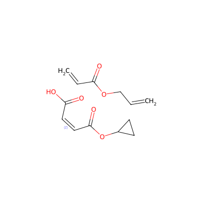 C=CCOC(=O)C=C.O=C(O)/C=C\C(=O)OC1CC1